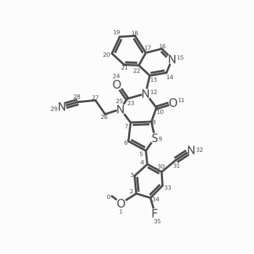 COc1cc(-c2cc3c(s2)c(=O)n(-c2cncc4ccccc24)c(=O)n3CCC#N)c(C#N)cc1F